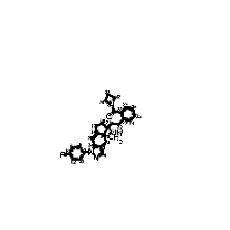 C[C@]12Cc3cnn(-c4ccc(F)cc4)c3C=C1CC[C@@]2(O)CCc1ccccc1C(=O)N1CCC1